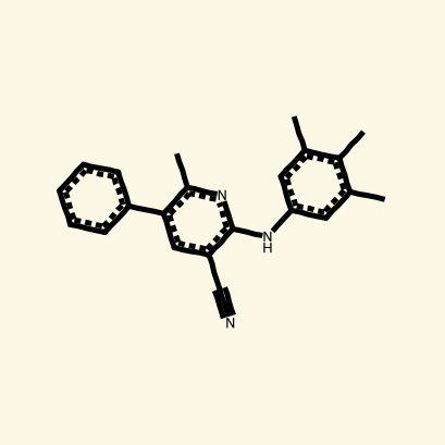 Cc1cc(Nc2nc(C)c(-c3ccccc3)cc2C#N)cc(C)c1C